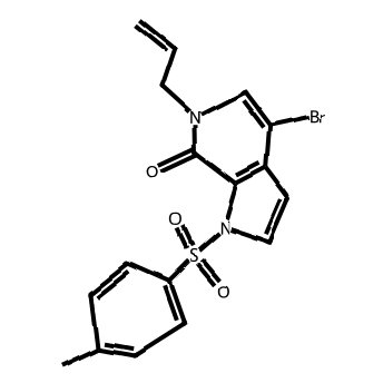 C=CCn1cc(Br)c2ccn(S(=O)(=O)c3ccc(C)cc3)c2c1=O